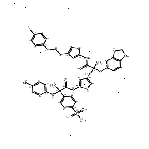 CC(C)(Oc1ccc2c(c1)OCO2)C(=O)Nc1nc(CCOc2ccc(F)cc2)cs1.CC(Sc1ccc(Cl)cc1)(C(=O)Nc1nccs1)c1ccc(S(C)(=O)=O)cc1